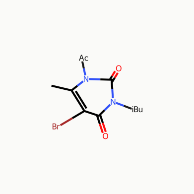 CCC(C)n1c(=O)c(Br)c(C)n(C(C)=O)c1=O